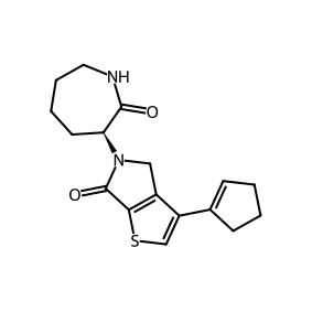 O=C1NCCCC[C@@H]1N1Cc2c(C3=CCCC3)csc2C1=O